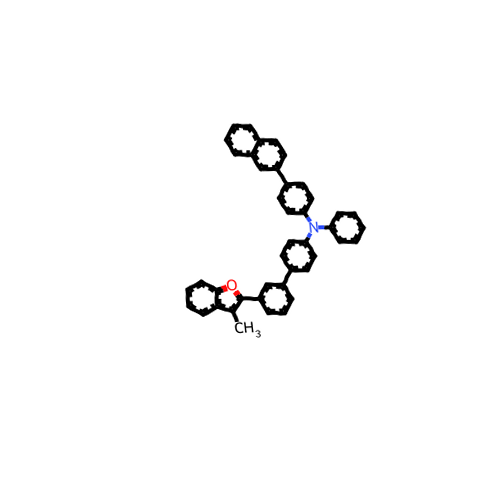 Cc1c(-c2cccc(-c3ccc(N(c4ccccc4)c4ccc(-c5ccc6ccccc6c5)cc4)cc3)c2)oc2ccccc12